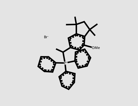 COc1cc(C(C)[P+](c2ccccc2)(c2ccccc2)c2ccccc2)cc2c1C(C)(C)CC2(C)C.[Br-]